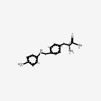 Cc1ccc(NCc2ccc(C[C@H](N)C(=O)O)cc2)cc1